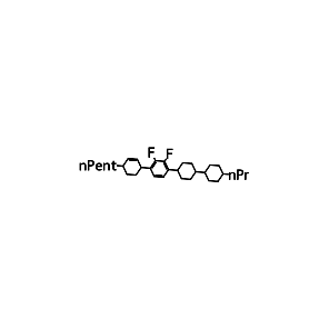 CCCCCC1C=CC(c2ccc(C3CCC(C4CCC(CCC)CC4)CC3)c(F)c2F)CC1